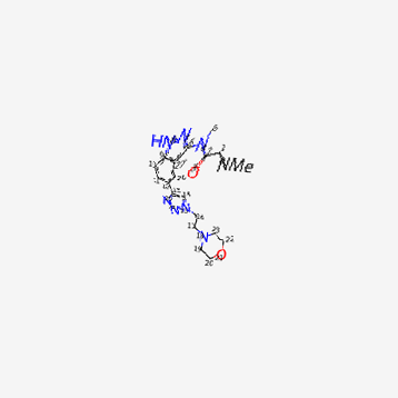 CNCC(=O)N(C)c1n[nH]c2ccc(-c3cn(CCN4CCOCC4)nn3)cc12